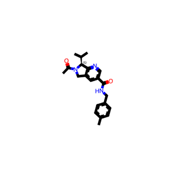 CC(=O)N1Cc2cc(C(=O)NCc3ccc(C)cc3)cnc2[C@@H]1C(C)C